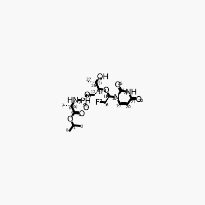 CC(C)OC(=O)[C@H](C)N[PH](=O)OC[C@@H](O[C@H](CF)n1ccc(=O)[nH]c1=O)[C@H](C)O